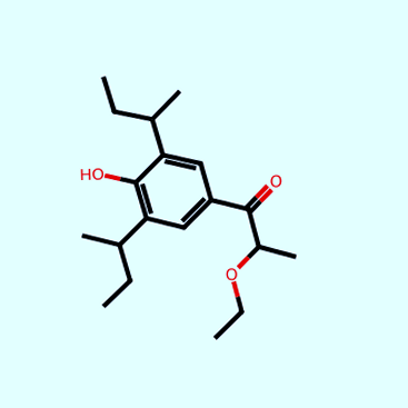 CCOC(C)C(=O)c1cc(C(C)CC)c(O)c(C(C)CC)c1